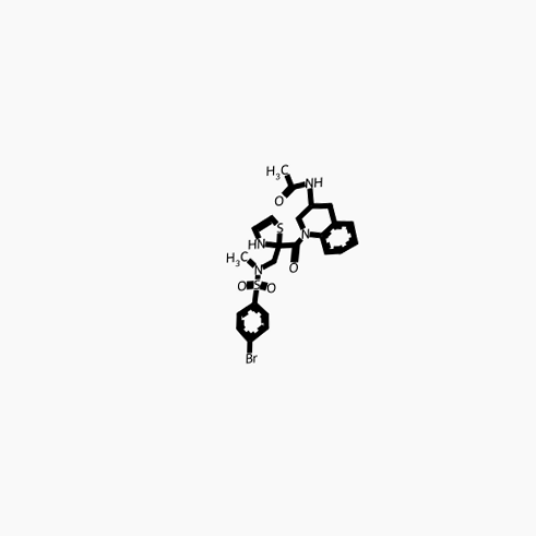 CC(=O)NC1Cc2ccccc2N(C(=O)C2(CN(C)S(=O)(=O)c3ccc(Br)cc3)NC=CS2)C1